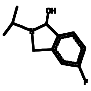 CC(C)N1Cc2cc(F)ccc2C1O